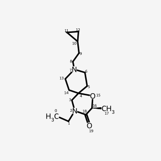 CCN1CC2(CCN(CCC3CC3)CC2)O[C@@H](C)C1=O